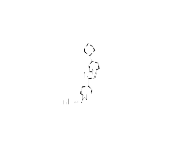 CCCCCC[n+]1ccc(-c2cn3ccc(-c4ccccc4)cc3n2)cc1